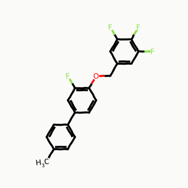 Cc1ccc(-c2ccc(OCc3cc(F)c(F)c(F)c3)c(F)c2)cc1